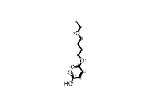 CCOCCCCOC(=O)/C=C\C(=O)O